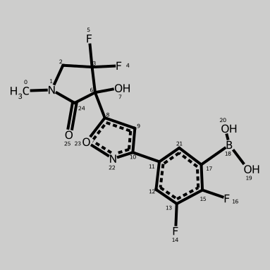 CN1CC(F)(F)C(O)(c2cc(-c3cc(F)c(F)c(B(O)O)c3)no2)C1=O